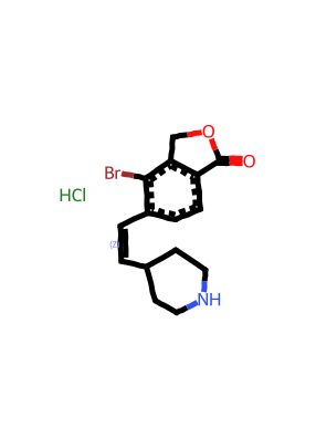 Cl.O=C1OCc2c1ccc(/C=C\C1CCNCC1)c2Br